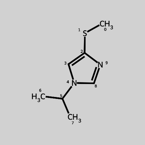 CSc1cn(C(C)C)cn1